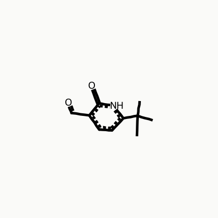 CC(C)(C)c1ccc(C=O)c(=O)[nH]1